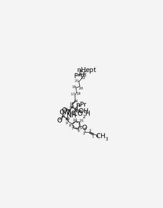 CC#CCOc1ccc(C[C@H](NC(=O)[C@@H](C=CCCCCCCC(F)(F)CCCCCCC)[C@@](O)(CCC)C(=O)O)C(=O)OC)cc1